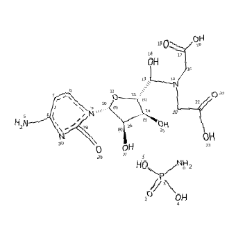 NP(=O)(O)O.Nc1ccn([C@@H]2O[C@H](C(O)N(CC(=O)O)CC(=O)O)[C@@H](O)[C@H]2O)c(=O)n1